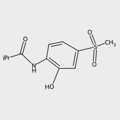 CC(C)C(=O)Nc1ccc(S(C)(=O)=O)cc1O